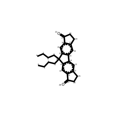 CCCCC1(CCCC)c2cc3c(cc2-c2cc4c(cc21)C(=O)CC4)CCC3=O